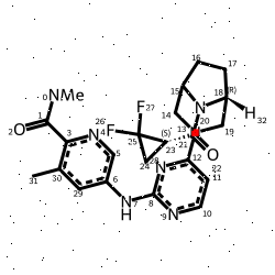 CNC(=O)c1ncc(Nc2nccc(N3CC4CC[C@H](C3)N4C(=O)[C@@H]3CC3(F)F)n2)cc1C